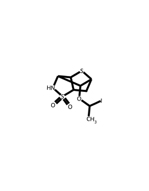 CC(I)OC1C2CC3C(S2)C1NS3(=O)=O